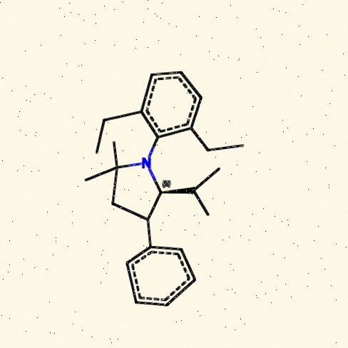 CCc1cccc(CC)c1N1[C@@H](C(C)C)C(c2ccccc2)CC1(C)C